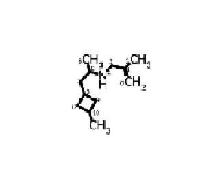 C=C(C)CNC(C)CC1CC(C)C1